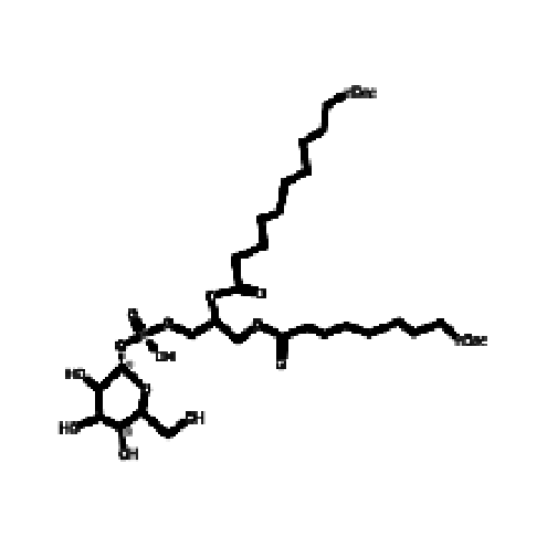 CCCCCCCCCCCCCCCCCCCC(=O)OC(COC(=O)CCCCCCCCCCCCCCCCC)COP(=O)(O)O[C@@H]1OC(CO)[C@@H](O)C(O)C1O